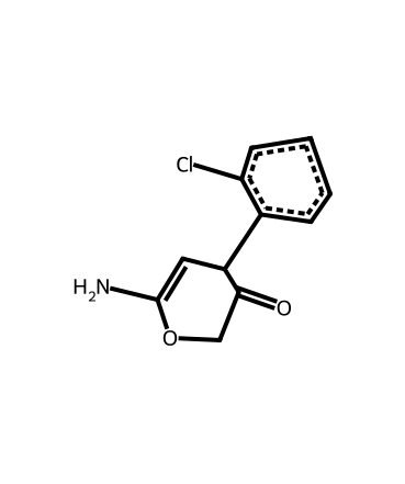 NC1=CC(c2ccccc2Cl)C(=O)CO1